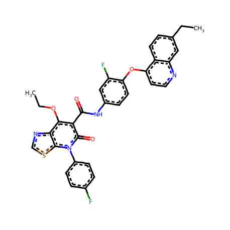 CCOc1c(C(=O)Nc2ccc(Oc3ccnc4cc(CC)ccc34)c(F)c2)c(=O)n(-c2ccc(F)cc2)c2scnc12